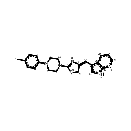 Fc1ccc(N2CCN(C3=NC(=Cc4c[nH]c5ncccc45)CN3)CC2)cc1